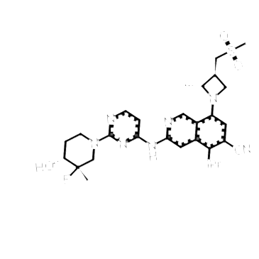 CC(C)c1c(C#N)cc(N2C[C@H](CS(C)(=O)=O)[C@H]2C)c2cnc(Nc3ccnc(N4CC[C@@H](O)[C@@](C)(F)C4)n3)cc12